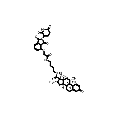 C[C@@H]1C[C@H]2[C@@H]3CCC4=CC(=O)C=C[C@]4(C)[C@@]3(F)[C@@H](O)C[C@]2(C)[C@@]1(O)C(=O)NCCCCNC(=O)COc1cccc2c1C(=O)N(C1CCC(=O)NC1=O)C2=O